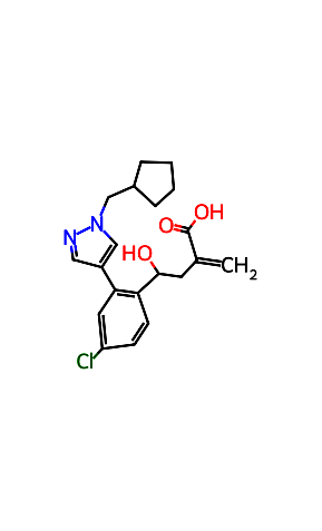 C=C(CC(O)c1ccc(Cl)cc1-c1cnn(CC2CCCC2)c1)C(=O)O